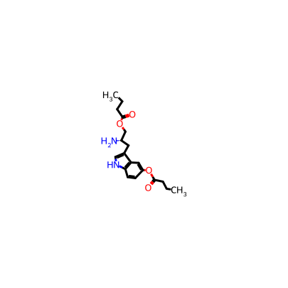 CCCC(=O)OC[C@@H](N)Cc1c[nH]c2ccc(OC(=O)CCC)cc12